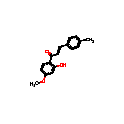 COc1ccc(C(=O)C=Cc2ccc(C)cc2)c(O)c1